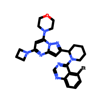 CCc1cccc2ncnc(N3CCCCC3c3cc4nc(N5CCC5)cc(N5CCOCC5)n4n3)c12